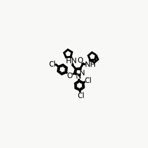 O=C(NC12CCC(CC1)C2)c1nn(-c2ccc(Cl)cc2Cl)c(Oc2ccc(Cl)cc2)c1CNC1CCCC1